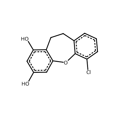 Oc1cc(O)c2c(c1)Oc1c(Cl)cccc1CC2